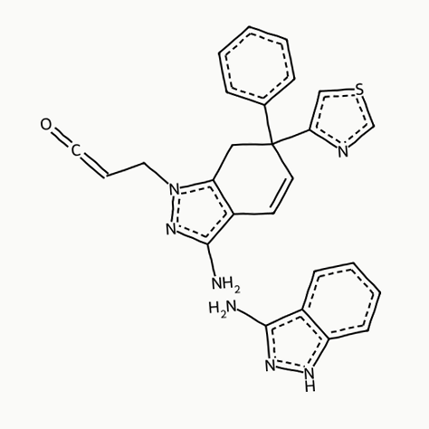 Nc1n[nH]c2ccccc12.Nc1nn(CC=C=O)c2c1C=CC(c1ccccc1)(c1cscn1)C2